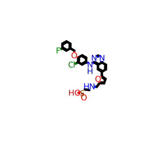 O=S(O)CCNCc1ccc(-c2ccc3ncnc(Nc4ccc(OCc5cccc(F)c5)c(Cl)c4)c3c2)o1